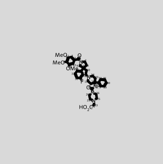 COc1cc(C(=O)N2CCC(CCN3CCC(NC(=O)N4CCN(CC(=O)O)CC4)(c4ccccc4)CC3)(c3cccc(F)c3)C2)cc(OC)c1OC